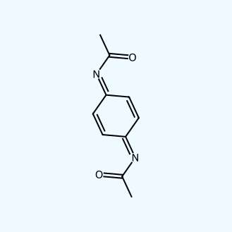 CC(=O)N=C1C=CC(=NC(C)=O)C=C1